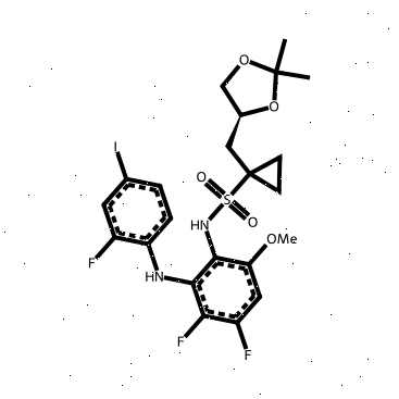 COc1cc(F)c(F)c(Nc2ccc(I)cc2F)c1NS(=O)(=O)C1(C[C@H]2COC(C)(C)O2)CC1